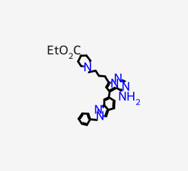 CCOC(=O)C1CCN(CCCCc2cc(-c3ccc4cn(Cc5ccccc5)nc4c3)c3c(N)ncnn23)CC1